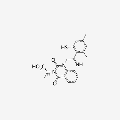 Cc1cc(C)c(C(=N)Cn2c(=O)n([C@@H](C)C(=O)O)c(=O)c3ccccc32)c(S)c1